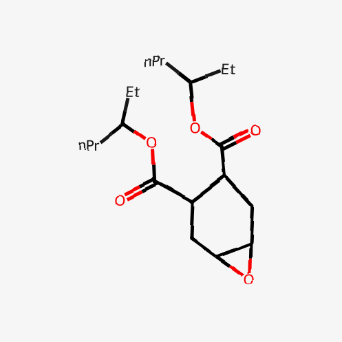 CCCC(CC)OC(=O)C1CC2OC2CC1C(=O)OC(CC)CCC